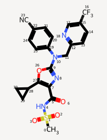 CS(=O)(=O)NC(=O)c1nc(N(Cc2ccc(C(F)(F)F)cn2)c2ccc(C#N)cc2)oc1C1CC1